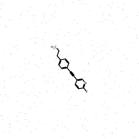 CCCc1ccc(C#Cc2ccc(F)nc2)cc1